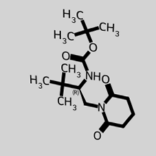 CC(C)(C)OC(=O)N[C@@H](CN1C(=O)CCCC1=O)C(C)(C)C